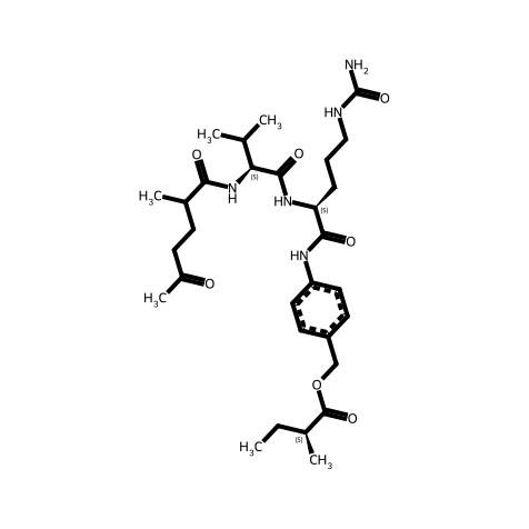 CC[C@H](C)C(=O)OCc1ccc(NC(=O)[C@H](CCCNC(N)=O)NC(=O)[C@@H](NC(=O)C(C)CCC(C)=O)C(C)C)cc1